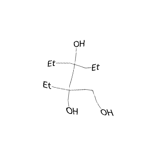 CCC(O)(CC)C(O)(CC)CO